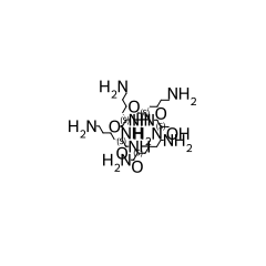 NCCCC[C@H](NC(=O)[C@H](CCCCN)NC(=O)[C@H](CCCCN)NC(=O)[C@H](CCCCN)NC(=O)[C@@H](N)CO)C(N)=O